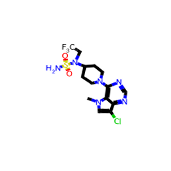 Cn1cc(Cl)c2ncnc(N3CCC(N(CC(F)(F)F)S(N)(=O)=O)CC3)c21